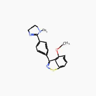 COc1cccc2snc(-c3ccc(C4=NCCN4C)cc3)c12